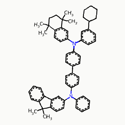 CC1(C)CCC(C)(C)c2cc(N(c3ccc(-c4ccc(N(c5ccccc5)c5ccc6c(c5)-c5ccccc5C6(C)C)cc4)cc3)c3cccc(C4CCCCC4)c3)ccc21